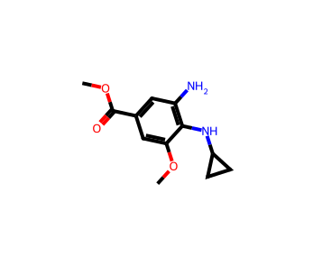 COC(=O)c1cc(N)c(NC2CC2)c(OC)c1